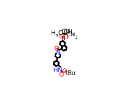 CC(C)(C)OC(=O)NCc1cccc(C2CCN(C(=O)c3cccc4cc(B5OC(C)(C)C(C)(C)O5)ccc34)CC2)c1